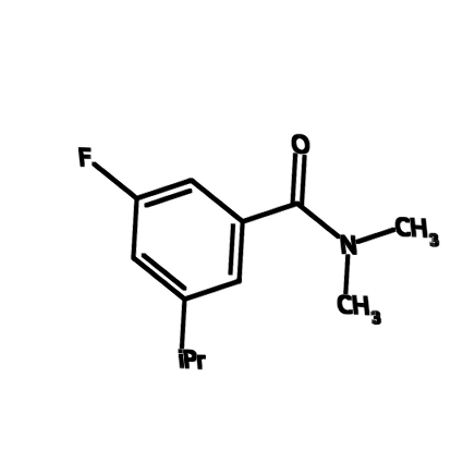 CC(C)c1cc(F)cc(C(=O)N(C)C)c1